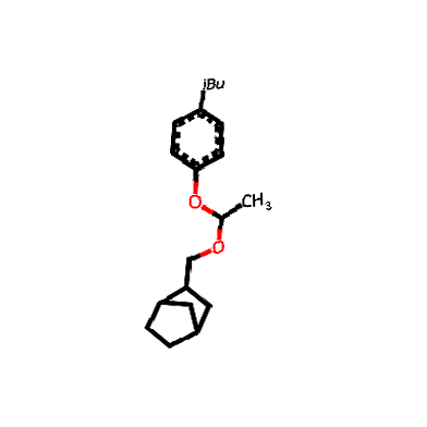 CCC(C)c1ccc(OC(C)OCC2CC3CCC2C3)cc1